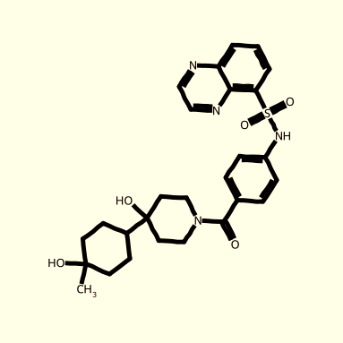 CC1(O)CCC(C2(O)CCN(C(=O)c3ccc(NS(=O)(=O)c4cccc5nccnc45)cc3)CC2)CC1